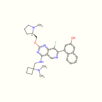 CN1CCC[C@@H]1COc1nc(NCC2(N(C)C)CCC2)c2cnc(-c3cc(O)cc4ccccc34)c(F)c2n1